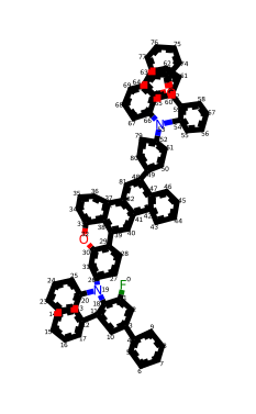 Fc1cc(-c2ccccc2)cc(-c2ccccc2)c1N(c1ccccc1)c1ccc2c(c1)Oc1cccc3c1c-2cc1c2ccccc2c(-c2ccc(N(c4ccccc4-c4ccccc4)c4cccc5c4oc4ccccc45)cc2)cc31